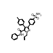 C=CCn1nc(-c2ccc(S(N)(=O)=O)cc2)c(-c2ccc(C)cc2)c1C(=O)Nc1ccccc1